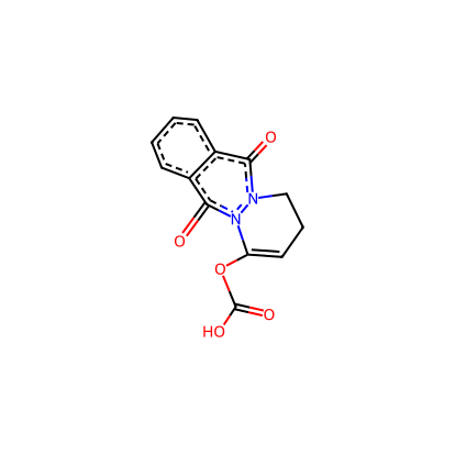 O=C(O)OC1=CCCn2c(=O)c3ccccc3c(=O)n21